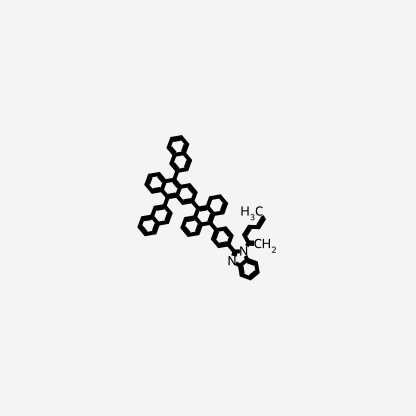 C=C(/C=C\C=C/C)n1c(-c2ccc(-c3c4c(c(-c5ccc6c(-c7ccc8ccccc8c7)c7ccccc7c(-c7ccc8ccccc8c7)c6c5)c5ccccc35)CCC=C4)cc2)nc2ccccc21